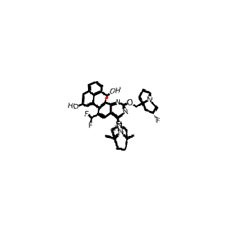 CC(O)c1cccc2cc(O)cc(-c3c(C(F)F)cc4c(N5CC6(C)CCC(C)(C5)N6)nc(OCC56CCCN5C[C@H](F)C6)nc4c3F)c12